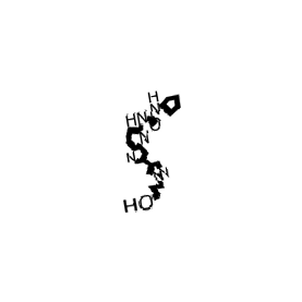 O=C(Nc1ccc2ncc(-c3cnn(CCCO)c3)cc2n1)NC1CCCC1